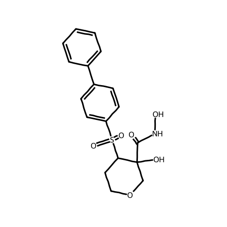 O=C(NO)C1(O)COCCC1S(=O)(=O)c1ccc(-c2ccccc2)cc1